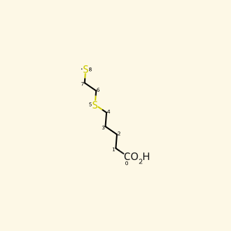 O=C(O)CCCCSCC[S]